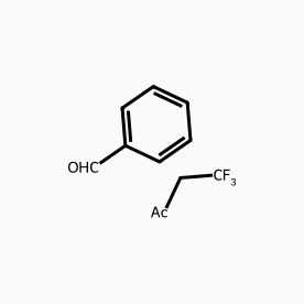 CC(=O)CC(F)(F)F.O=Cc1ccccc1